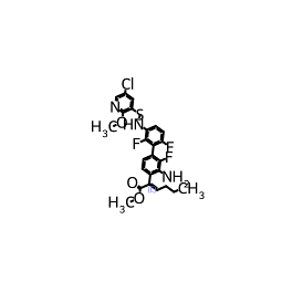 CCC/C=C(/C(=O)OC)c1ccc(-c2c(F)ccc(NSc3cc(Cl)cnc3OC)c2F)c(F)c1N